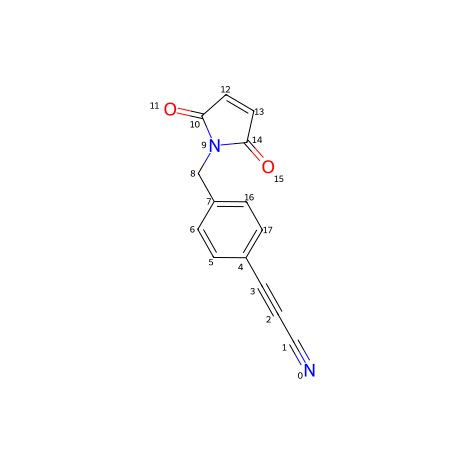 N#CC#Cc1ccc(CN2C(=O)C=CC2=O)cc1